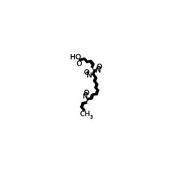 CC/C=C\C[C@H](/C=C/C=C\C=C\C=C\[C@@H](N=O)[C@H](C/C=C\CCC(=O)O)N=O)N=O